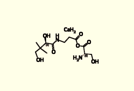 CC(C)(CO)[C@@H](O)C(=O)NCCC(=O)OC(=O)[C@@H](N)CO.[CaH2]